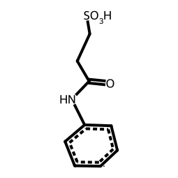 O=C(CCS(=O)(=O)O)Nc1cc[c]cc1